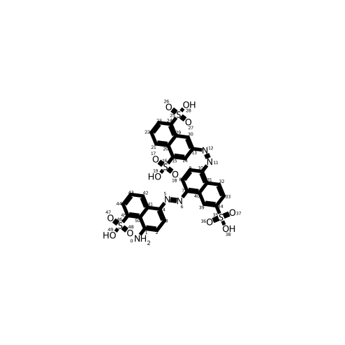 Nc1ccc(N=Nc2ccc(/N=N\c3cc(S(=O)(=O)O)c4cccc(S(=O)(=O)O)c4c3)c3ccc(S(=O)(=O)O)cc23)c2cccc(S(=O)(=O)O)c12